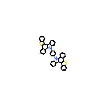 c1ccc2c(c1)sc1c3ccccc3c3c(c4ccccc4n3-c3ccc(-n4c5ccccc5c5c6c7ccccc7sc6c6ccccc6c54)cc3)c21